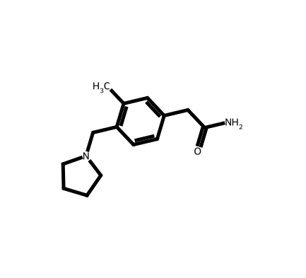 Cc1cc(CC(N)=O)ccc1CN1CCCC1